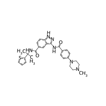 CN1CCN(c2ccc(C(=O)Nc3n[nH]c4ccc(C(=O)NC(C)(C)c5cccs5)cc34)cc2)CC1